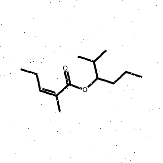 CCC=C(C)C(=O)OC(CCC)C(C)C